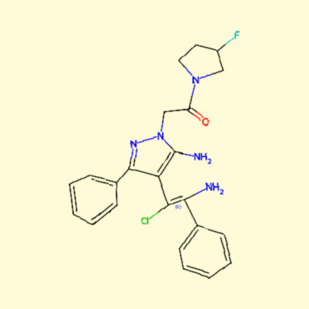 N/C(=C(/Cl)c1c(-c2ccccc2)nn(CC(=O)N2CCC(F)C2)c1N)c1ccccc1